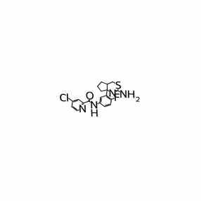 NC1=NC2(c3cc(NC(=O)c4cc(Cl)ccn4)ccc3F)CCCC2CS1